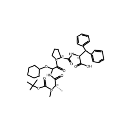 C[C@@H](C(=O)NC(OC1CCCCC1)C(=O)N1CCC[C@H]1C(=O)N[C@H](C(=O)O)C(c1ccccc1)c1ccccc1)N(C)C(=O)OC(C)(C)C